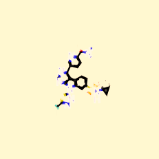 CN(C)C(=O)c1ccc(-c2ncnc3c2c2ccc(S(=O)(=O)NC4(C#N)CC4)cc2n3-c2nnc(C(F)F)s2)cn1